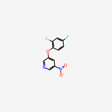 O=[N+]([O-])c1cncc(Oc2ccc(F)cc2F)c1